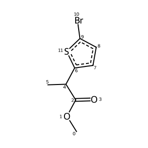 COC(=O)C(C)c1ccc(Br)s1